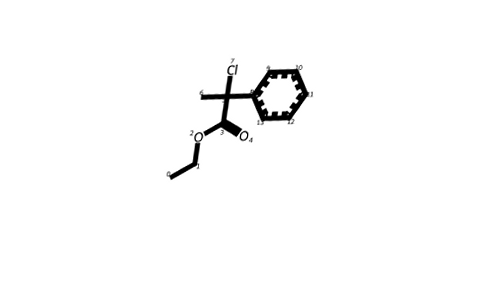 CCOC(=O)C(C)(Cl)c1ccccc1